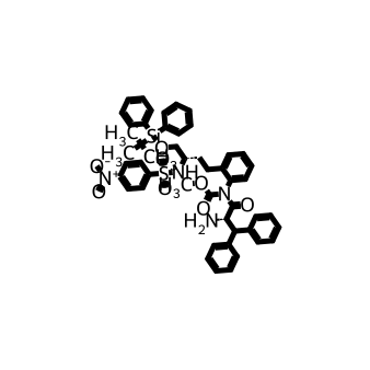 COC(=O)N(C(=O)[C@@H](N)C(c1ccccc1)c1ccccc1)c1ccccc1CC[C@@H](CO[Si](c1ccccc1)(c1ccccc1)C(C)(C)C)NS(=O)(=O)c1ccc([N+](=O)[O-])cc1